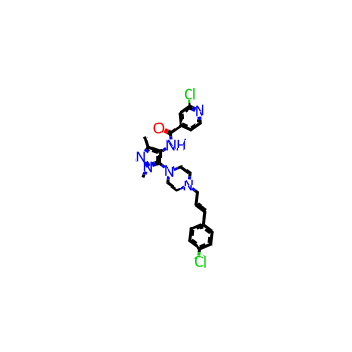 Cc1nn(C)c(N2CCN(C/C=C/c3ccc(Cl)cc3)CC2)c1NC(=O)c1ccnc(Cl)c1